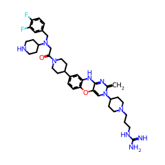 C=C1N=C2Nc3cc(C4CCN(C(=O)CN(Cc5ccc(F)c(F)c5)C5CCNCC5)CC4)ccc3OC2=CN1C1CCN(CCCNC(=N)N)CC1